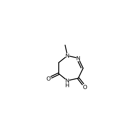 CN1CC(=O)NC(=O)C=N1